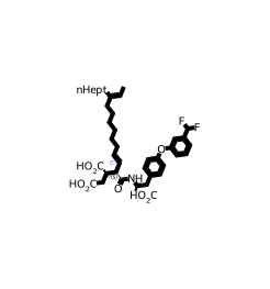 CC=C(CCCCCCC)CCCCCC/C=C/[C@H](C(=O)N[C@@H](Cc1ccc(Oc2cccc(C(F)F)c2)cc1)C(=O)O)[C@@H](CC(=O)O)C(=O)O